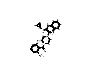 O=C(c1c(Cl)cccc1C(F)(F)F)N1CCN(c2nc3ccccc3nc2NC2CC2)CC1